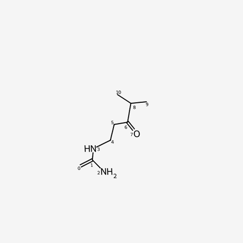 C=C(N)NCCC(=O)C(C)C